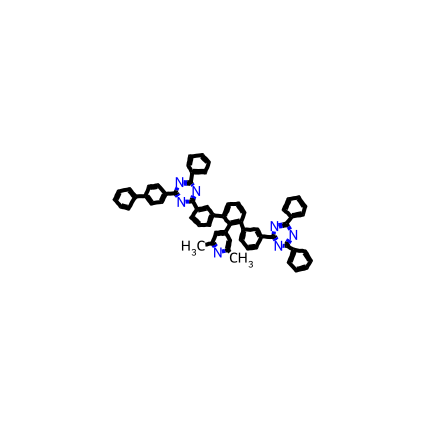 Cc1cc(-c2c(-c3cccc(-c4nc(-c5ccccc5)nc(-c5ccccc5)n4)c3)cccc2-c2cccc(-c3nc(-c4ccccc4)nc(-c4ccc(-c5ccccc5)cc4)n3)c2)cc(C)n1